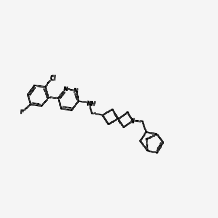 Fc1ccc(Cl)c(-c2ccc(NCC3CC4(C3)CN(CC3CC5C=CC3C5)C4)nn2)c1